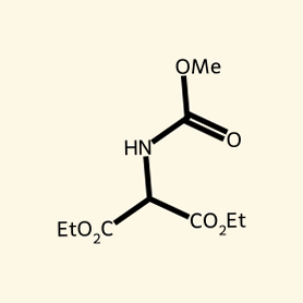 CCOC(=O)C(NC(=O)OC)C(=O)OCC